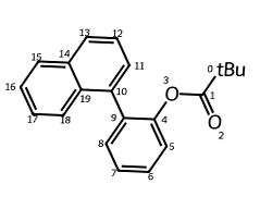 CC(C)(C)C(=O)Oc1ccccc1-c1cccc2ccccc12